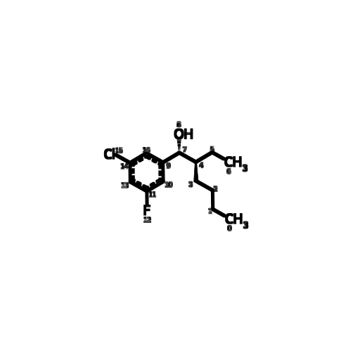 CCCC[C@H](CC)[C@@H](O)c1cc(F)cc(Cl)c1